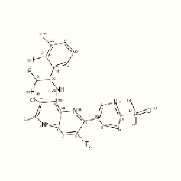 Cc1nc2cc(F)c(-c3ccc(P(C)(C)=O)nc3)nc2c(NC(c2cccc(F)c2F)C(F)F)c1Cl